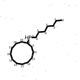 CCCCCCCPC1CCCCCCCCCCC1